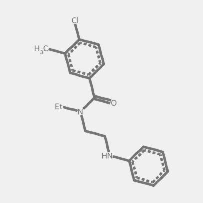 CCN(CCNc1ccccc1)C(=O)c1ccc(Cl)c(C)c1